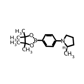 C[C@@H]1CCCN1c1ccc(B2OC(C)(C)C(C)(C)O2)cc1